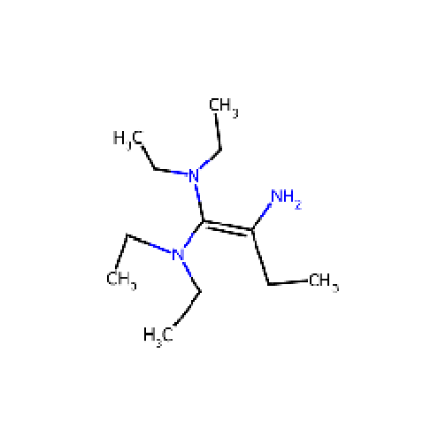 CCC(N)=C(N(CC)CC)N(CC)CC